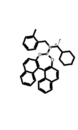 Cc1ccccc1CN([C@H](C)C1CCCCC1)p1oc2ccc3ccccc3c2c2c(ccc3ccccc32)o1